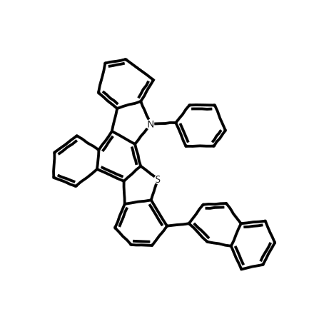 c1ccc(-n2c3ccccc3c3c4ccccc4c4c5cccc(-c6ccc7ccccc7c6)c5sc4c32)cc1